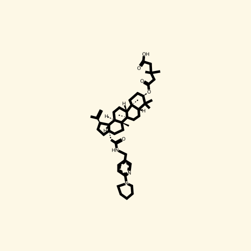 C=C(C)[C@@H]1CC[C@]2(CC(=O)NCc3ccc(N4CCCCC4)nc3)CC[C@]3(C)[C@H](CC[C@@H]4[C@@]5(C)CC[C@H](OC(=O)CC(C)(C)CC(=O)O)C(C)(C)[C@@H]5CC[C@]43C)[C@@H]12